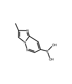 Cc1cn2ncc(B(O)O)cc2n1